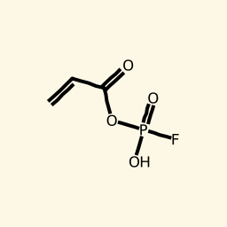 C=CC(=O)OP(=O)(O)F